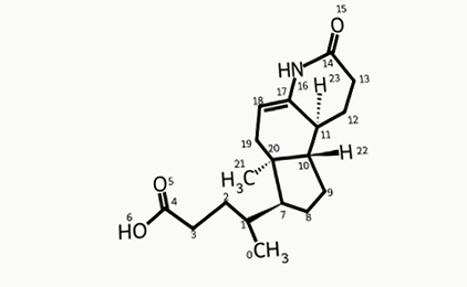 CC(CCC(=O)O)[C@@H]1CC[C@H]2[C@@H]3CCC(=O)NC3=CC[C@]12C